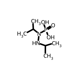 CC(C)NN(C(C)C)P(=O)(O)O